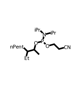 CCCCCC(CC)C(C)OP(OCCC#N)N(C(C)C)C(C)C